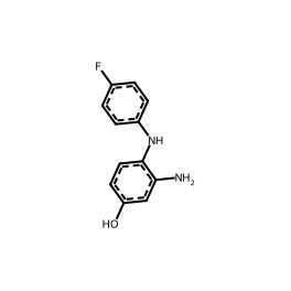 Nc1cc(O)ccc1Nc1ccc(F)cc1